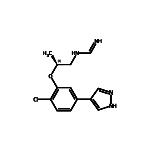 C[C@@H](CNC=N)Oc1cc(-c2cn[nH]c2)ccc1Cl